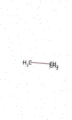 [CH2]CCCCCCCCCCCCCCCCCCCCCCCCCCCCCC(C)CC